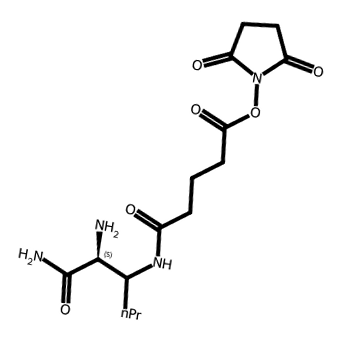 CCCC(NC(=O)CCCC(=O)ON1C(=O)CCC1=O)[C@H](N)C(N)=O